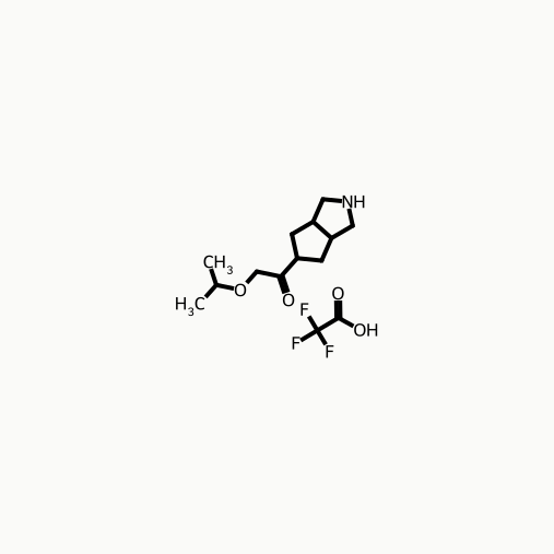 CC(C)OCC(=O)C1CC2CNCC2C1.O=C(O)C(F)(F)F